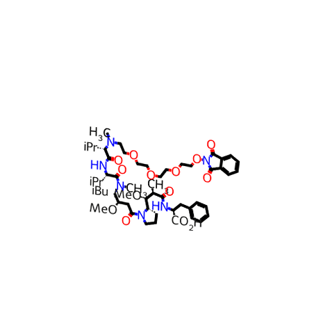 CC[C@H](C)[C@@H]([C@@H](CC(=O)N1CCC[C@H]1[C@H](OC)[C@@H](C)C(=O)N[C@@H](Cc1ccccc1)C(=O)O)OC)N(C)C(=O)[C@@H](NC(=O)[C@H](C(C)C)N(C)CCOCCOCCOCCON1C(=O)c2ccccc2C1=O)C(C)C